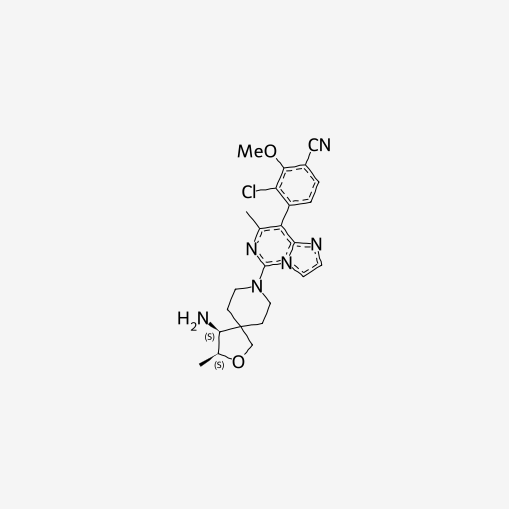 COc1c(C#N)ccc(-c2c(C)nc(N3CCC4(CC3)CO[C@@H](C)[C@H]4N)n3ccnc23)c1Cl